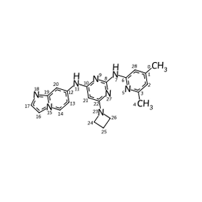 Cc1cc(C)nc(Nc2nc(Nc3ccn4ccnc4c3)cc(N3CCC3)n2)c1